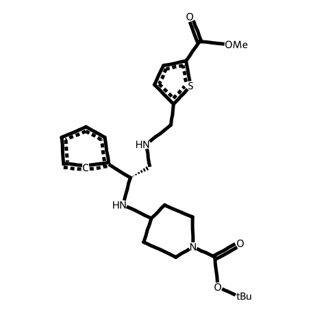 COC(=O)c1ccc(CNC[C@H](NC2CCN(C(=O)OC(C)(C)C)CC2)c2ccccc2)s1